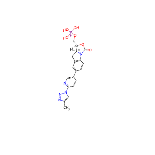 Cc1cn(-c2ccc(-c3ccc4c(c3)C[C@H]3[C@H](CO[PH](O)(O)O)OC(=O)N43)cn2)nn1